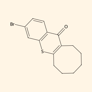 O=c1c2c(sc3cc(Br)ccc13)CCCCCC2